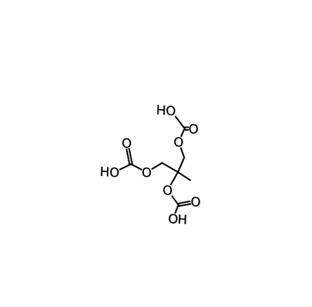 CC(COC(=O)O)(COC(=O)O)OC(=O)O